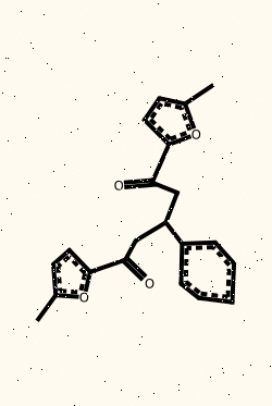 Cc1ccc(C(=O)CC(CC(=O)c2ccc(C)o2)c2ccccc2)o1